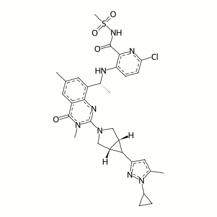 Cc1cc([C@@H](C)Nc2ccc(Cl)nc2C(=O)NS(C)(=O)=O)c2nc(N3C[C@@H]4C(c5cc(C)n(C6CC6)n5)[C@@H]4C3)n(C)c(=O)c2c1